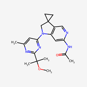 COC(C)(C)c1nc(C)cc(N2CC3(CC3)c3cnc(NC(C)=O)cc32)n1